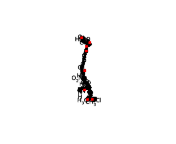 CC1(C)CCC(CN2CCN(c3ccc(C(=O)NS(=O)(=O)c4ccc(NCC5CCN(C(=O)COCCOCCOCCOCCSc6cccc7c6CN(C6CCC(=O)NC6=O)C7=O)CC5)c([N+](=O)[O-])c4)c(Oc4cnc5[nH]ccc5c4)c3)CC2)=C(c2ccc(Cl)cc2)C1